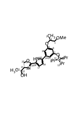 COC[C@H](C)Oc1cc(O[Si](C(C)C)(C(C)C)C(C)C)cc(-c2ccc(C3=N[C@H]([C@@H](C)O)CO3)[nH]2)c1